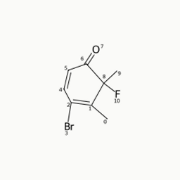 CC1=C(Br)C=CC(=O)C1(C)F